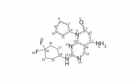 Nc1cc(=O)n(-c2ccccc2)c2nc(NC3CCC(F)(F)CC3)ncc12